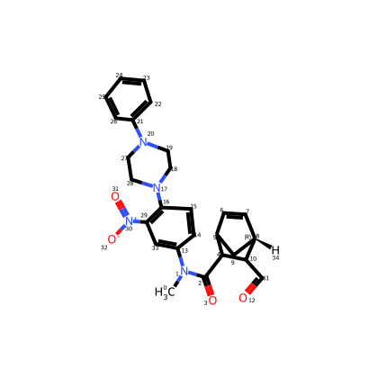 CN(C(=O)C1C2C=C[C@@H](C2)C1C=O)c1ccc(N2CCN(c3ccccc3)CC2)c([N+](=O)[O-])c1